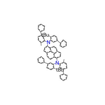 Cc1ccc(-c2ccccc2)cc1N(c1cc(-c2ccccc2)ccc1C(C)(C)C)c1ccc2ccc3c(N(c4cc(-c5ccccc5)ccc4C)c4cc(-c5ccccc5)ccc4C(C)(C)C)ccc4ccc1c2c43